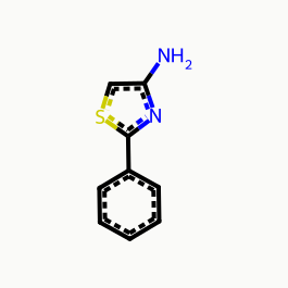 Nc1csc(-c2ccccc2)n1